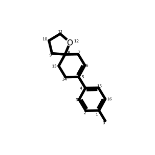 Cc1ccc(C2=CCC3(CCCO3)CC2)cc1